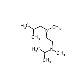 CC(C)CN(C)CCN(C)C(C)C